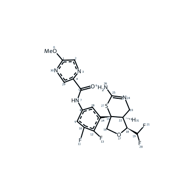 COc1cnc(C(=O)Nc2cc(F)c(F)c([C@]34CO[C@H](C(F)F)[C@@H]3CN=C(N)S4)c2)cn1